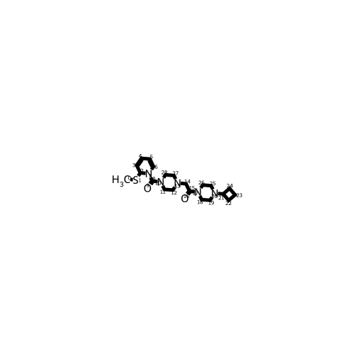 CSC1C=CC=CN1C(=O)N1CCN(CC(=O)N2CCN(C3CCC3)CC2)CC1